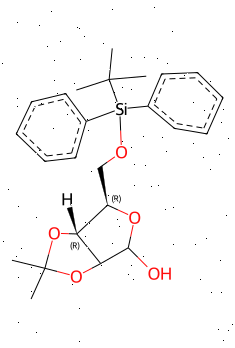 CC1(C)OC2C(O)O[C@H](CO[Si](c3ccccc3)(c3ccccc3)C(C)(C)C)[C@H]2O1